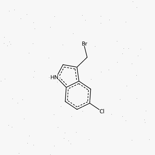 Clc1ccc2[nH]cc(CBr)c2c1